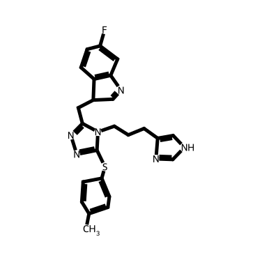 Cc1ccc(Sc2nnc(CC3C=Nc4cc(F)ccc43)n2CCCc2c[nH]cn2)cc1